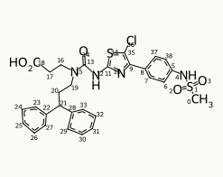 CS(=O)(=O)Nc1ccc(-c2nc(NC(=O)N(CCC(=O)O)CCC(c3ccccc3)c3ccccc3)sc2Cl)cc1